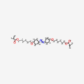 C=C(C)C(=O)OCCCCCCOc1ccc(/N=N/c2ccc(OCCCCCCOC(=O)C(=C)C)cc2)cc1